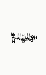 C=C(NCCCCNCCCNC(=O)c1ccc(NN=Cc2ccccc2S(=O)(=O)O)nc1)c1cccnc1